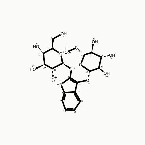 OC[C@H]1O[C@@H](Sc2[nH]c3ccccc3c2O[C@@H]2O[C@H](CO)[C@@H](O)[C@H](O)[C@H]2O)[C@H](O)[C@@H](O)[C@@H]1O